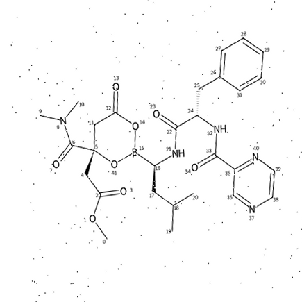 COC(=O)C[C@@]1(C(=O)N(C)C)CC(=O)OB([C@H](CC(C)C)NC(=O)[C@H](Cc2ccccc2)NC(=O)c2cnccn2)O1